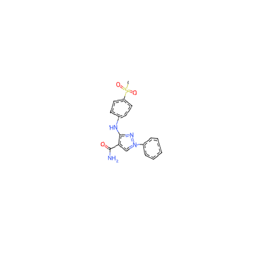 CS(=O)(=O)c1ccc(Nc2nn(-c3ccccc3)cc2C(N)=O)cc1